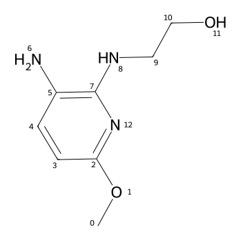 COc1ccc(N)c(NCCO)n1